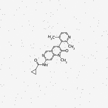 Cc1ccnc(C)c1-c1cc2cnc(NC(=O)C3CC3)cc2n(C)c1=O